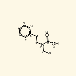 CCN(CCc1ccccc1)C(=O)O